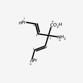 CCCC=CC(N)(C=CCCC)C(=O)O